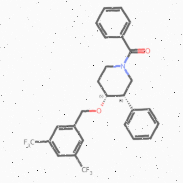 O=C(c1ccccc1)N1CC[C@@H](OCc2cc(C(F)(F)F)cc(C(F)(F)F)c2)[C@@H](c2ccccc2)C1